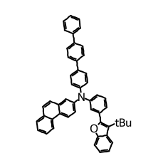 CC(C)(C)c1c(-c2cccc(N(c3ccc(-c4ccc(-c5ccccc5)cc4)cc3)c3ccc4c(ccc5ccccc54)c3)c2)oc2ccccc12